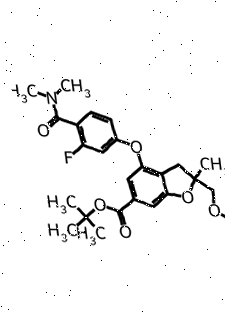 COCC1(C)Cc2c(Oc3ccc(C(=O)N(C)C)c(F)c3)cc(C(=O)OC(C)(C)C)cc2O1